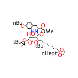 CCCCCCCC1(CCCCCCC=C[C@H](C(=O)N[C@@H](Cc2ccc(OCCCC)cc2)C(=O)OC)[C@@](O)(CCO[Si](C)(C)C(C)(C)C)C(=O)OC(C)(C)C)OCCO1